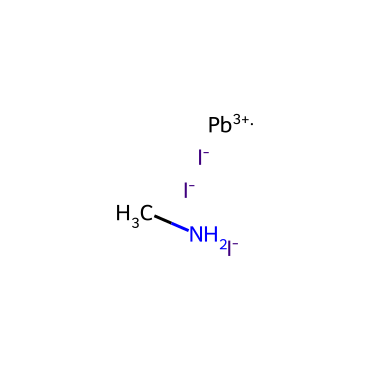 CN.[I-].[I-].[I-].[Pb+3]